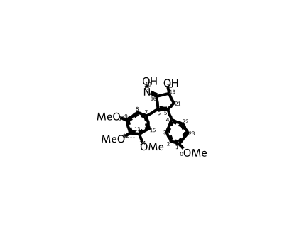 COc1ccc(C2=C(c3cc(OC)c(OC)c(OC)c3)/C(=N/O)C(O)C2)cc1